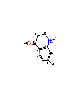 Cc1ccc2c(c1)N(C)CCC2=O